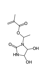 C=C(C)C(=O)OC(C)N1C(=O)NC(O)C1O